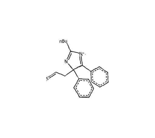 CCCCC1=NC(CC=S)(c2ccccc2)C(c2ccccc2)=[N+]1